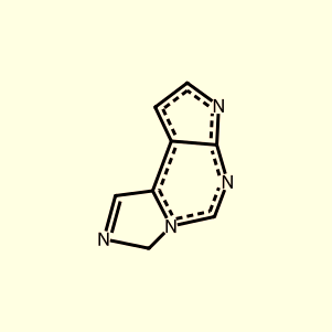 C1=NCn2cnc3nccc-3c21